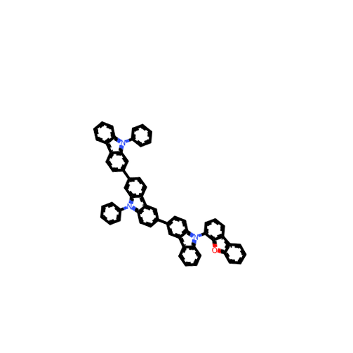 c1ccc(-n2c3ccccc3c3ccc(-c4ccc5c6cc(-c7ccc8c(c7)c7ccccc7n8-c7cccc8c7oc7ccccc78)ccc6n(-c6ccccc6)c5c4)cc32)cc1